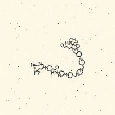 CNC(=O)C(CCC=O)N1Cc2cc(N3CCC(CN4CCN(CC5CCN(c6ccc(NC(=O)C7CCN(C(/C=N\CC#N)=C/CC(F)(F)F)CC7)nc6)CC5)CC4)CC3)ccc2C1=O